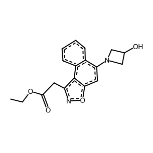 CCOC(=O)Cc1noc2cc(N3CC(O)C3)c3ccccc3c12